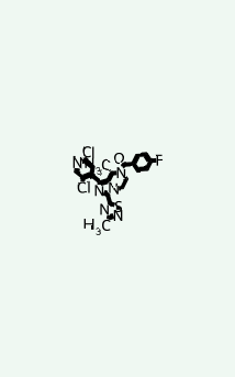 Cc1nsc(-c2nc(-c3cc(Cl)ncc3Cl)c3n2CCN(C(=O)c2ccc(F)cc2)[C@@H]3C)n1